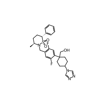 C[C@H]1CC[C@H](c2ccccc2)S(=O)(=O)N1Cc1cc(F)c(C2(CO)CCC(n3cnnc3)CC2)cc1F